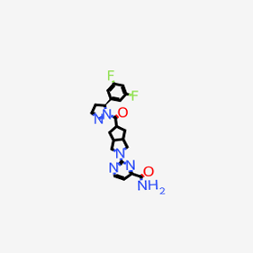 NC(=O)c1ccnc(N2CC3CC(C(=O)N4N=CC[C@H]4c4cc(F)cc(F)c4)CC3C2)n1